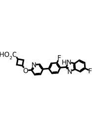 O=C(O)C1CC(Oc2ccc(-c3ccc(-c4nc5cc(F)ccc5[nH]4)c(F)c3)cn2)C1